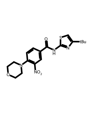 CC(C)(C)c1csc(NC(=O)c2ccc(N3CCOCC3)c([N+](=O)[O-])c2)n1